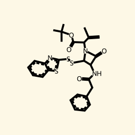 C=C(C)C(C(=O)OC(C)(C)C)N1C(=O)C(NC(=O)Cc2ccccc2)C1SSc1nc2ccccc2s1